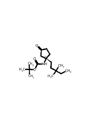 CCC(C)(C)CC[C@]1(NC(=O)OC(C)(C)C)CCC(=O)C1